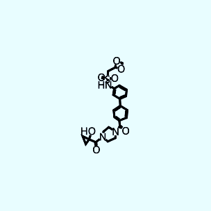 O=C(c1ccc(-c2cccc(NS(=O)(=O)CC3OCO3)c2)cc1)N1CCN(C(=O)C2(O)CC2)CC1